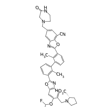 Cc1c(-c2nc3cc(CN4CCC[C@H]4C(=O)O)c(OC(F)F)cc3o2)cccc1-c1cccc(-c2nc3cc(CN4CCNC(=O)C4)cc(C#N)c3o2)c1C